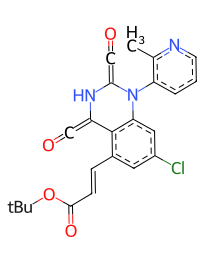 Cc1ncccc1N1C(=C=O)NC(=C=O)c2c(C=CC(=O)OC(C)(C)C)cc(Cl)cc21